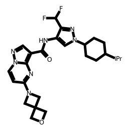 CC(C)C1CCC(n2cc(NC(=O)c3cnn4ccc(N5CC6(COC6)C5)nc34)c(C(F)F)n2)CC1